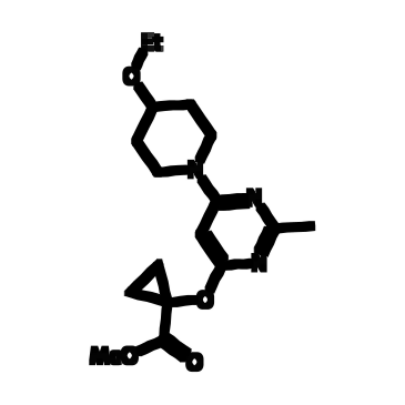 CCOC1CCN(c2cc(OC3(C(=O)OC)CC3)nc(C)n2)CC1